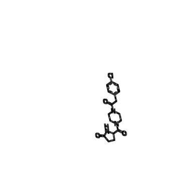 O=C1CCC(C(=O)N2CCN(C(=O)Cc3ccc(Cl)cc3)CC2)N1